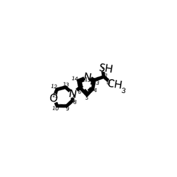 CC(S)c1ccc(N2CCCOCC2)cn1